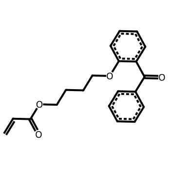 C=CC(=O)OCCCCOc1ccccc1C(=O)c1ccccc1